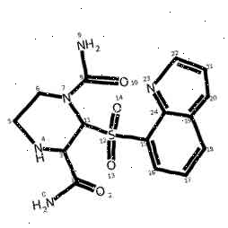 NC(=O)C1NCCN(C(N)=O)C1S(=O)(=O)c1cccc2cccnc12